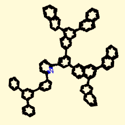 c1ccc(-c2cc(-c3ccccc3)cc(-c3cccc(-c4cccc(-c5cc(-c6ccc7c(-c8ccc9ccccc9c8)cc(-c8ccc9ccccc9c8)cc7c6)cc(-c6ccc7c(-c8ccc9ccccc9c8)cc(-c8ccc9ccccc9c8)cc7c6)c5)n4)c3)c2)cc1